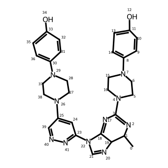 CC1N=C(N2CCN(c3ccc(O)cc3)CC2)N=C2C1N=CN2c1cc(N2CCN(c3ccc(O)cc3)CC2)cnn1